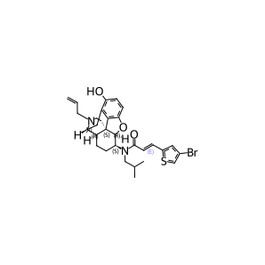 C=CCN1CC[C@@]23c4c5ccc(O)c4C[C@@H]1[C@@H]2CC[C@H](N(CC(C)C)C(=O)/C=C/c1cc(Br)cs1)[C@@H]3O5